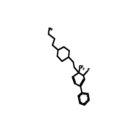 CC(C)CCCC1CCC(CCC2(C(F)(F)F)C=CC(c3ccccc3)=CC2F)CC1